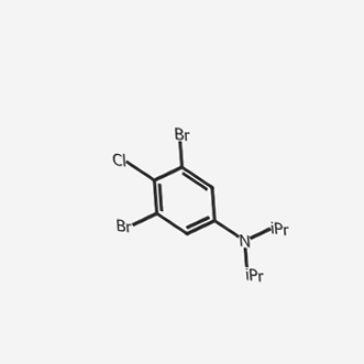 CC(C)N(c1cc(Br)c(Cl)c(Br)c1)C(C)C